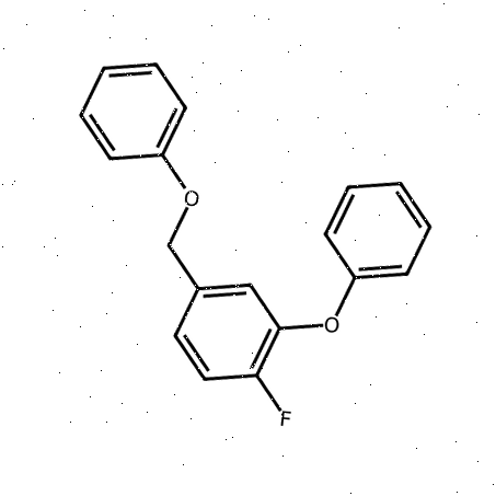 Fc1ccc(COc2ccccc2)cc1Oc1ccccc1